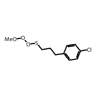 COOOSCCCc1ccc(Cl)cc1